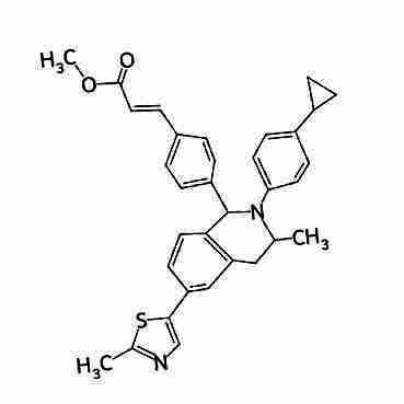 COC(=O)/C=C/c1ccc(C2c3ccc(-c4cnc(C)s4)cc3CC(C)N2c2ccc(C3CC3)cc2)cc1